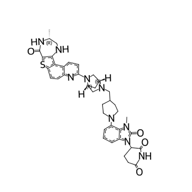 C[C@@H]1CNc2c(sc3ccc4nc(N5C[C@H]6C[C@@H]5CN6CC5CCN(c6cccc7c6n(C)c(=O)n7C6CCC(=O)NC6=O)CC5)ccc4c23)C(=O)N1